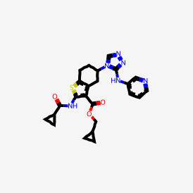 O=C(OCC1CC1)c1c(NC(=O)C2CC2)sc2c1CC(n1cnnc1Nc1cccnc1)CC2